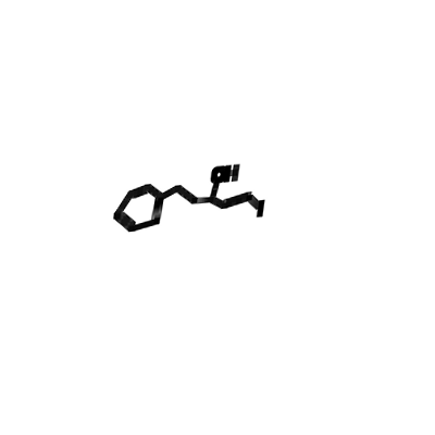 OC(C=CI)CCc1ccccc1